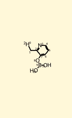 [2H]Cc1ncccc1OB(O)O